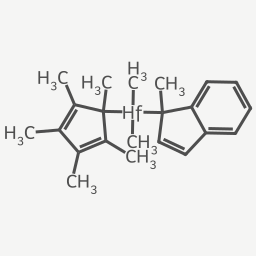 CC1=C(C)[C](C)([Hf]([CH3])([CH3])[C]2(C)C=Cc3ccccc32)C(C)=C1C